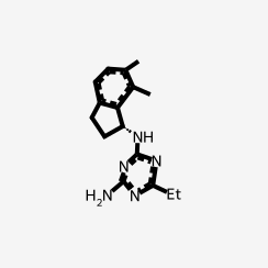 CCc1nc(N)nc(N[C@@H]2CCc3ccc(C)c(C)c32)n1